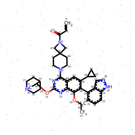 C=CC(=O)N1CC2(CCN(c3nc(OC4CN5CCC4CC5)nc4c(OCC(F)(F)F)c(-c5c(C)ccc6[nH]ncc56)c(C5CC5)cc34)CC2)C1